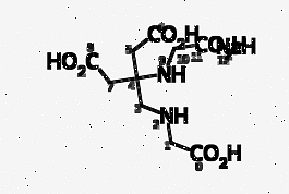 O=C(O)CNCC(CC(=O)O)(CC(=O)O)NCC(=O)O.[NaH]